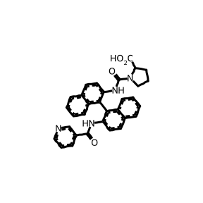 O=C(Nc1ccc2ccccc2c1-c1c(NC(=O)N2CCCC2C(=O)O)ccc2ccccc12)c1cccnc1